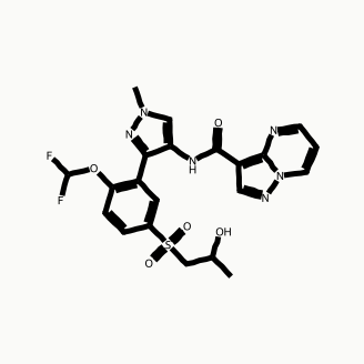 CC(O)CS(=O)(=O)c1ccc(OC(F)F)c(-c2nn(C)cc2NC(=O)c2cnn3cccnc23)c1